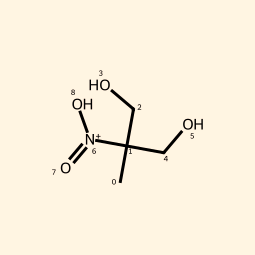 CC(CO)(CO)[N+](=O)O